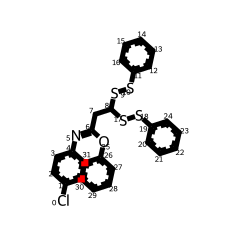 Clc1ccc(/N=C(/CC(SSc2ccccc2)SSc2ccccc2)Oc2ccccc2)cc1